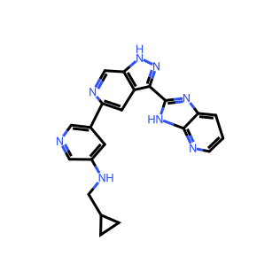 c1cnc2[nH]c(-c3n[nH]c4cnc(-c5cncc(NCC6CC6)c5)cc34)nc2c1